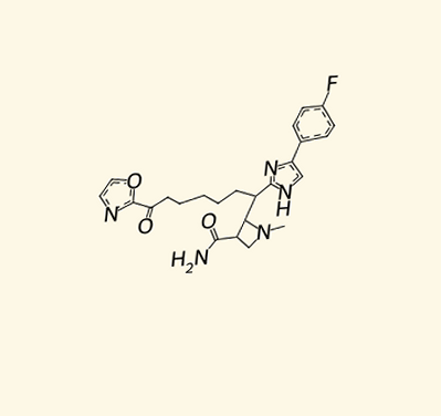 CN1CC(C(N)=O)C1C(CCCCCC(=O)c1ncco1)c1nc(-c2ccc(F)cc2)c[nH]1